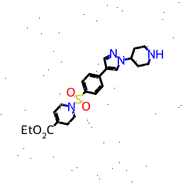 CCOC(=O)C1=CCN(S(=O)(=O)c2ccc(-c3cnn(C4CCNCC4)c3)cc2)CC1